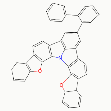 C1=CC2Oc3c(ccc4c5cc(-c6ccccc6-c6ccccc6)cc6c7ccc8c9c(oc8c7n(c34)c56)C=CCC9)C2C=C1